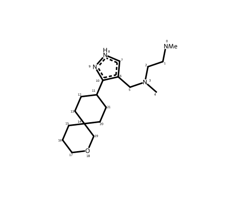 CNCCN(C)Cc1c[nH]nc1C1CCC2(CCCOC2)CC1